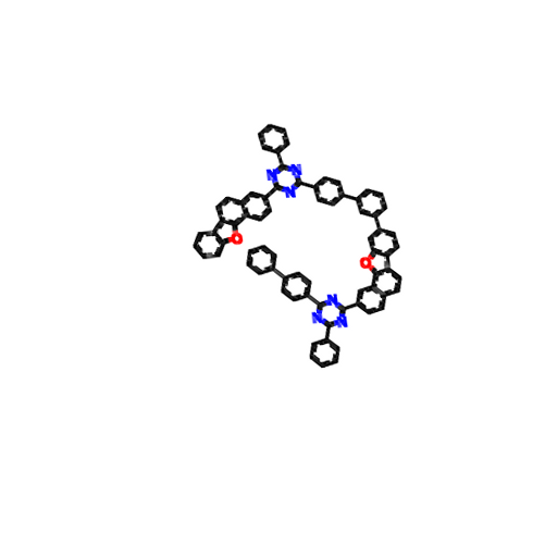 c1ccc(-c2ccc(-c3nc(-c4ccccc4)nc(-c4ccc5ccc6c7ccc(-c8cccc(-c9ccc(-c%10nc(-c%11ccccc%11)nc(-c%11ccc%12c(ccc%13c%14ccccc%14oc%12%13)c%11)n%10)cc9)c8)cc7oc6c5c4)n3)cc2)cc1